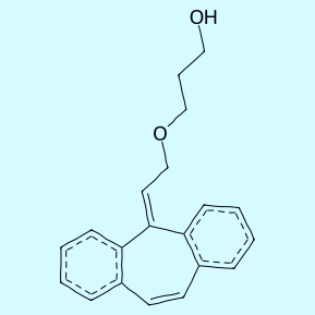 OCCCOCC=C1c2ccccc2C=Cc2ccccc21